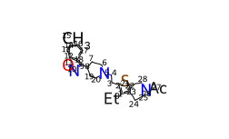 CCc1c(CCN2CCC(c3noc4cc(C)ccc34)CC2)sc2c1CCN(C(C)=O)C2